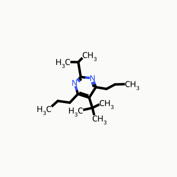 CCCc1nc(C(C)C)nc(CCC)c1C(C)(C)C